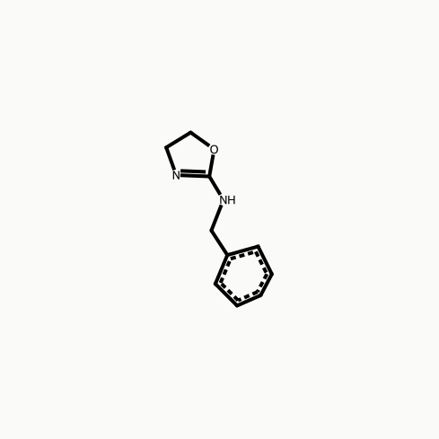 c1ccc(CNC2=NCCO2)cc1